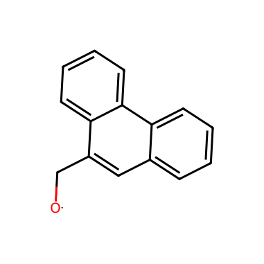 [O]Cc1cc2ccccc2c2ccccc12